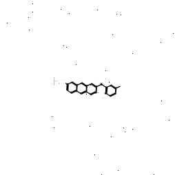 Cc1ccc2sc3cc4cc5ccc(Br)cc5cc4cc3c(=O)c2c1